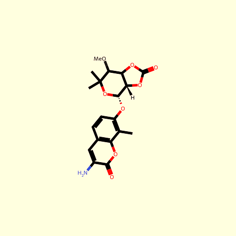 COC1C2OC(=O)O[C@@H]2[C@H](Oc2ccc3cc(N)c(=O)oc3c2C)OC1(C)C